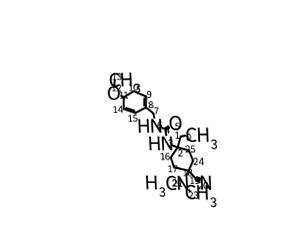 CCC1(NC(=O)NCC2=CCC(OC)C=C2)CCC(C#N)(N(C)C)CC1